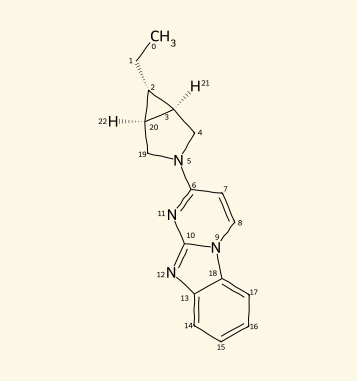 CC[C@@H]1[C@H]2CN(c3ccn4c(n3)nc3ccccc34)C[C@@H]12